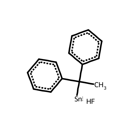 C[C]([Sn])(c1ccccc1)c1ccccc1.F